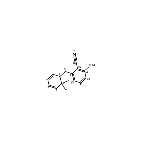 CC1(C)C=CC=CC1Cc1cccc(F)c1C#N